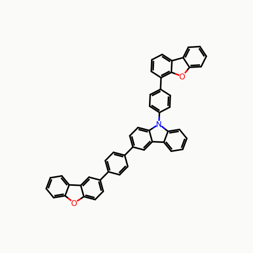 c1ccc2c(c1)oc1ccc(-c3ccc(-c4ccc5c(c4)c4ccccc4n5-c4ccc(-c5cccc6c5oc5ccccc56)cc4)cc3)cc12